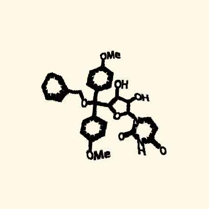 COc1ccc(C(OCc2ccccc2)(c2ccc(OC)cc2)C2OC(n3ccc(=O)[nH]c3=O)C(O)C2O)cc1